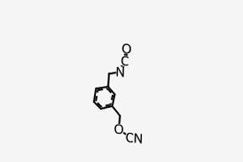 N#COCc1cccc(CN=C=O)c1